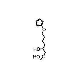 O=C(O)CC(O)CCCCOc1cccs1